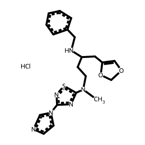 CN(CCC(CC1=COCO1)NCc1ccccc1)c1nc(-n2ccnc2)ns1.Cl